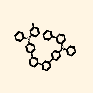 Cc1cccc(N(c2ccccc2)c2ccc(-c3cccc(-c4cccc(-c5ccc(N(c6ccccc6)c6cccc(-c7ccccc7)c6)cc5)c4)c3)cc2)c1